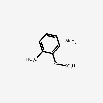 O=C(O)c1ccccc1OS(=O)(=O)O.[MgH2]